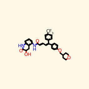 O=C(C=CC=C(c1ccc(OCC2CCOCC2)cc1)c1ccc(C(F)(F)F)cc1)Nc1cccc2c1CC(O)C(=O)N2